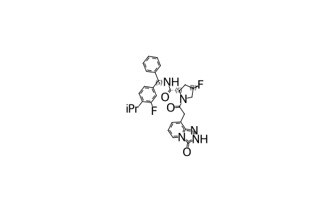 CC(C)c1ccc([C@@H](NC(=O)[C@@H]2C[C@@H](F)CN2C(=O)Cc2cccn3c(=O)[nH]nc23)c2ccccc2)cc1F